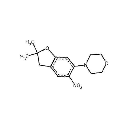 CC1(C)Cc2cc([N+](=O)[O-])c(N3CCOCC3)cc2O1